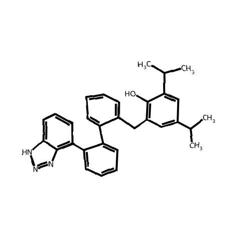 CC(C)c1cc(Cc2ccccc2-c2ccccc2-c2cccc3[nH]nnc23)c(O)c(C(C)C)c1